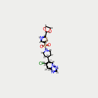 O=S(=O)(c1cnc(C2OCCO2)s1)N1CCC(c2cn3ncnc3cc2Cl)CC1